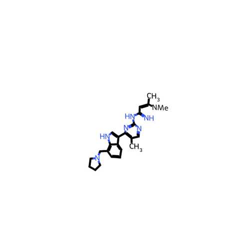 CN/C(C)=C\C(=N)Nc1ncc(C)c(-c2c[nH]c3c(CN4CCCC4)cccc23)n1